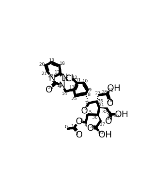 CC(=O)OCC1O[C@H](c2ccc(Cl)c(Cn3nc4ccccn4c3=O)c2)[C@H](CC(=O)O)[C@@H](CC(=O)O)[C@H]1CC(=O)O